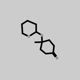 CC1(OC2CCCCO2)CCC(=O)CC1